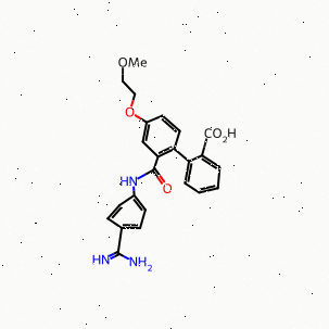 COCCOc1ccc(-c2ccccc2C(=O)O)c(C(=O)Nc2ccc(C(=N)N)cc2)c1